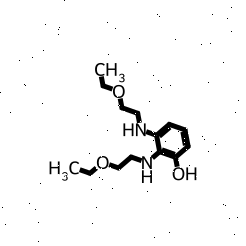 CCOCCNc1cccc(O)c1NCCOCC